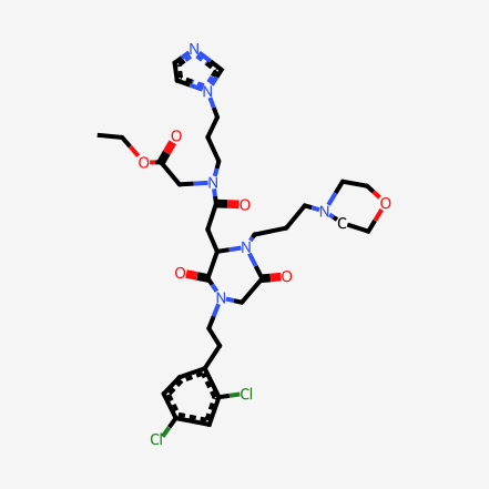 CCOC(=O)CN(CCCn1ccnc1)C(=O)CC1C(=O)N(CCc2ccc(Cl)cc2Cl)CC(=O)N1CCCN1CCOCC1